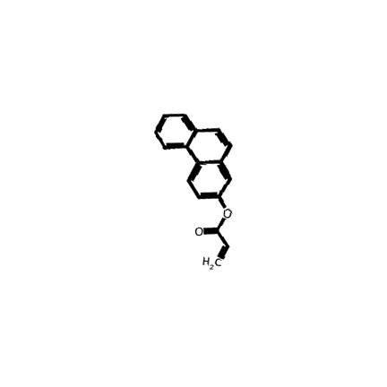 C=CC(=O)Oc1ccc2c(ccc3ccccc32)c1